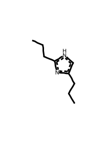 CCCc1c[nH]c(CCC)n1